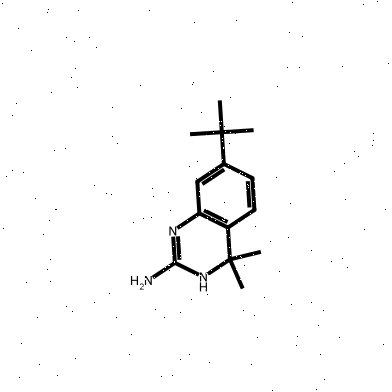 CC(C)(C)c1ccc2c(c1)N=C(N)NC2(C)C